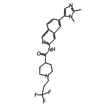 Cc1ncc(-c2ccc3cnc(NC(=O)C4CCN(CCC(F)(F)F)CC4)cc3c2)n1C